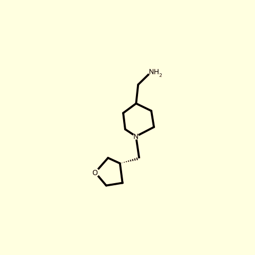 NCC1CCN(C[C@@H]2CCOC2)CC1